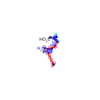 CC(C)[C@H](NC(=O)CCOCCOCCOCCOCCN1C(=O)C=CC1=O)C(=O)NC(CCCNC(N)=O)C(=O)Nc1ccc(COC(=O)NCCOc2cnc3ccc(-c4[nH]c(CNc5cccc(C(=O)O)c5)nc4-c4cccc(C(F)F)n4)cc3c2)cc1